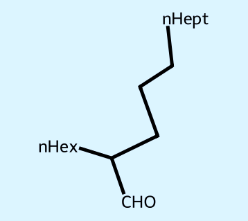 CCCCCCCCCCC(C=O)CCCCCC